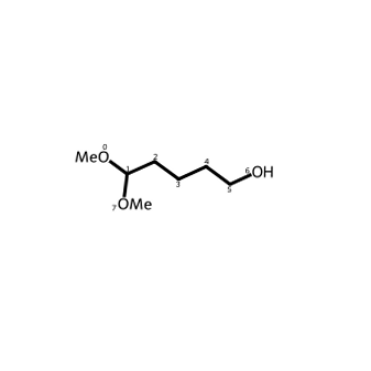 COC(CCCCO)OC